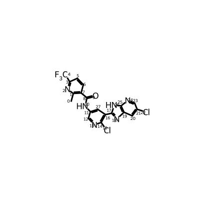 Cc1nc(C(F)(F)F)ccc1C(=O)Nc1cnc(Cl)c(-c2nc3cc(Cl)cnc3[nH]2)c1